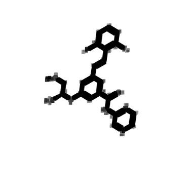 COC[C@H](C)Oc1cc(C=Cc2c(F)cccc2F)cc(C(=O)Nc2cnccn2)c1